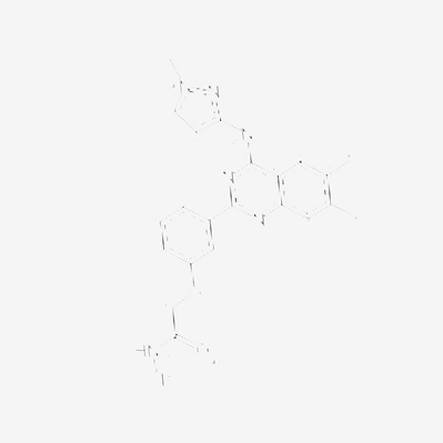 Cc1cc2nc(-c3cccc(OCC(=O)NC(C)(C)C)c3)nc(Nc3ccn(C)n3)c2cc1C